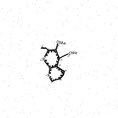 COc1c(C)nc2ncccc2c1OC